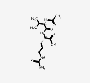 CC(=O)N[C@H](C(=O)N[C@@H](CCCNC(N)=O)C(=O)O)C(C)C